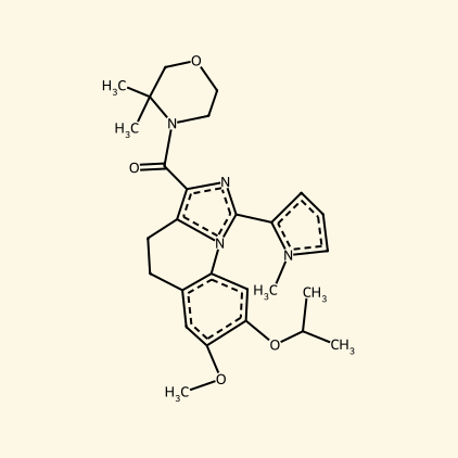 COc1cc2c(cc1OC(C)C)-n1c(-c3cccn3C)nc(C(=O)N3CCOCC3(C)C)c1CC2